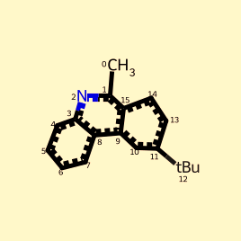 Cc1nc2ccccc2c2cc(C(C)(C)C)ccc12